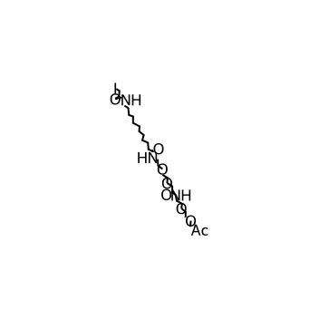 CC(=O)COCCOCCNC(=O)COCCOCCNC(=O)CCCCCCCCCCCNC(=O)CI